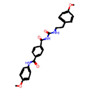 COc1ccc(CCNC(=O)NC(=O)c2ccc(C(=O)Nc3ccc(OC)cc3)cc2)cc1